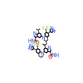 C=C(CC1Cc2cc(-c3cnn(C)c3)c(C(F)F)cc2N(c2cc(C(C)C)c3c(c2)c(C(=O)NC)cn3C)C1)c1cc(N2CCCc3cc(-c4cnn(C)c4)c(C(F)F)cc32)cc2c(C(=O)NC)cn(C)c12